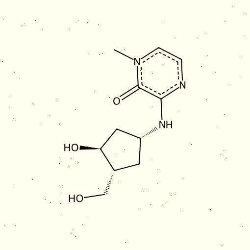 Cn1ccnc(N[C@@H]2C[C@H](CO)[C@@H](O)C2)c1=O